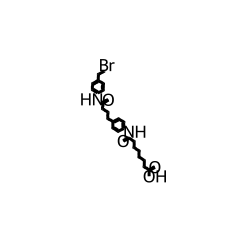 O=C(O)CCCCCCC(=O)Nc1ccc(CCCC(=O)Nc2ccc(CCBr)cc2)cc1